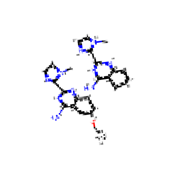 Cn1ccnc1-c1nc(N)c2ccccc2n1.Cn1ccnc1-c1nc(N)c2ccccc2n1.O=[N+]([O-])[O-].[Cu+]